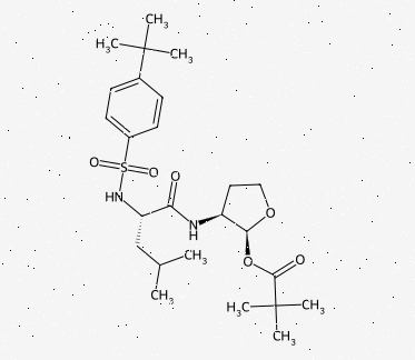 CC(C)C[C@H](NS(=O)(=O)c1ccc(C(C)(C)C)cc1)C(=O)N[C@H]1CCO[C@H]1OC(=O)C(C)(C)C